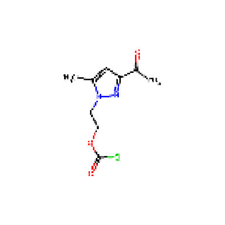 CC(=O)c1cc(C)n(CCOC(=O)Cl)n1